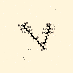 CC(=O)[C@@H](CCCCNC(=O)CCCCOC(O)C(O)C(O)C(O)C(C)CO)NC(=O)CCCCOC(O)C(O)C(O)C(O)C(C)CO